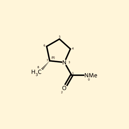 CNC(=O)N1CCC[C@H]1C